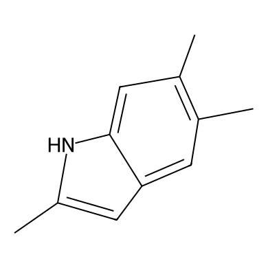 Cc1cc2cc(C)c(C)cc2[nH]1